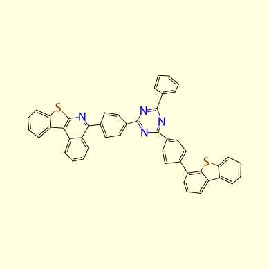 c1ccc(-c2nc(-c3ccc(-c4nc5sc6ccccc6c5c5ccccc45)cc3)nc(-c3ccc(-c4cccc5c4sc4ccccc45)cc3)n2)cc1